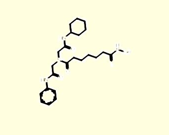 O=C(CCCCCC(=O)N(CC(=O)Nc1ccccc1)CC(=O)NC1CCCCC1)NO